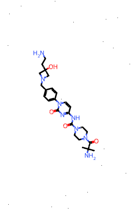 CC(C)(N)C(=O)N1CCN(C(=O)Nc2ccn(-c3ccc(CN4CC(O)(CCN)C4)cc3)c(=O)n2)CC1